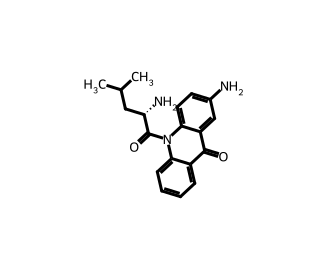 CC(C)C[C@H](N)C(=O)n1c2ccccc2c(=O)c2cc(N)ccc21